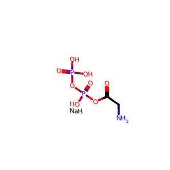 NCC(=O)OP(=O)(O)OP(=O)(O)O.[NaH]